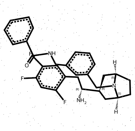 N[C@H](Cc1cc(F)c(F)cc1F)[C@H]1C[C@H]2CC[C@@H](C1)N2Cc1cccc(CNC(=O)c2ccccc2)c1